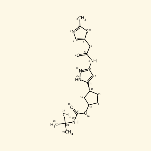 Cc1nnc(CC(=O)Nc2cc([C@H]3CCC(OC(=O)NC(C)(C)C)C3)[nH]n2)s1